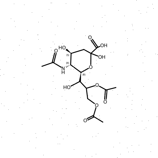 CC(=O)N[C@@H]1[C@@H](O)CC(O)(C(=O)O)O[C@H]1C(O)C(COC(C)=O)OC(C)=O